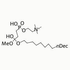 CCCCCCCCCCCCCCCCCCOC(O)(CCP(=O)(O)OCC[N+](C)(C)C)OC